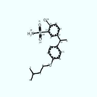 CC(C)CCOc1ccc(C(C)c2ccc(Cl)c(S(N)(=O)=O)c2)cc1